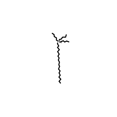 CCCCCCCCCCCCCCCCCCCC[PH](CCCCC)(CCCCC)CCCCC